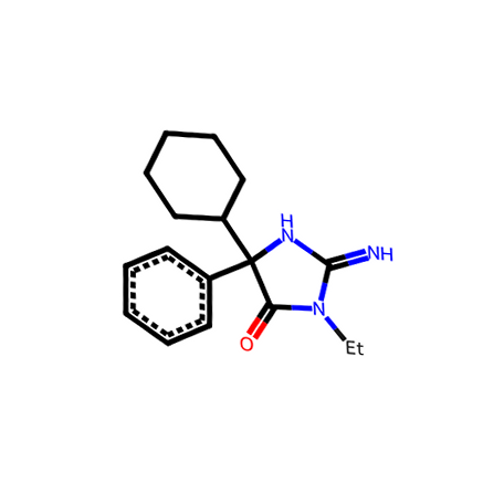 CCN1C(=N)NC(c2ccccc2)(C2CCCCC2)C1=O